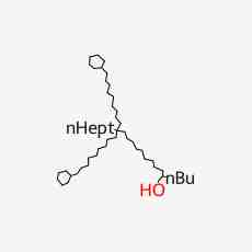 CCCCCCCC(CCCCCCCCCC(CO)CCCC)(CCCCCCCCCC1CCCCC1)CCCCCCCCCC1CCCCC1